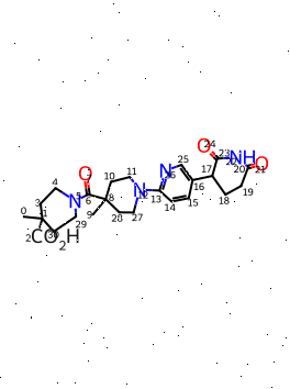 CC1(C(=O)O)CCN(C(=O)C2(C)CCN(c3ccc(C4CCC(=O)NC4=O)cn3)CC2)CC1